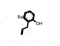 C=CCc1ccccc1O.[BaH2]